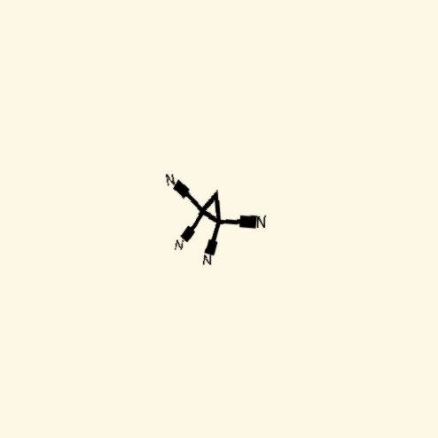 N#CC1(C#N)CC1(C#N)C#N